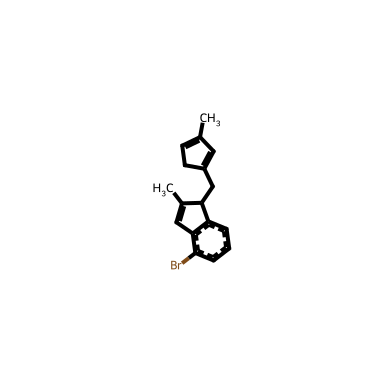 CC1=CCC(CC2C(C)=Cc3c(Br)cccc32)=C1